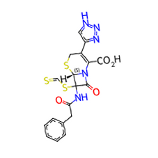 O=C(Cc1ccccc1)NC1(SC=S)C(=O)N2C(C(=O)O)=C(c3c[nH]nn3)CS[C@H]21